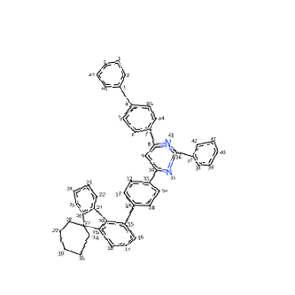 c1ccc(-c2ccc(-c3cc(-c4ccc(-c5cccc6c5-c5ccccc5C65CCCCC5)cc4)nc(-c4ccccc4)n3)cc2)cc1